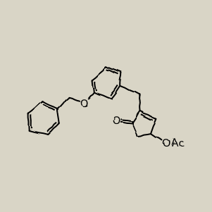 CC(=O)OC1C=C(Cc2cccc(OCc3ccccc3)c2)C(=O)C1